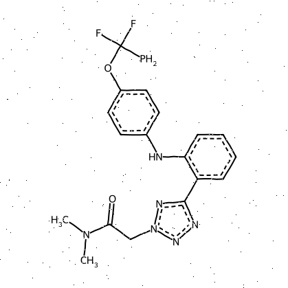 CN(C)C(=O)Cn1nnc(-c2ccccc2Nc2ccc(OC(F)(F)P)cc2)n1